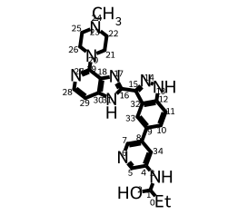 CCC(O)Nc1cncc(-c2ccc3[nH]nc(-c4nc5c(N6CCN(C)CC6)nccc5[nH]4)c3c2)c1